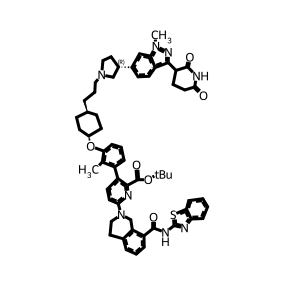 Cc1c(O[C@H]2CC[C@H](CCCN3CC[C@H](c4ccc5c(C6CCC(=O)NC6=O)nn(C)c5c4)C3)CC2)cccc1-c1ccc(N2CCc3cccc(C(=O)Nc4nc5ccccc5s4)c3C2)nc1C(=O)OC(C)(C)C